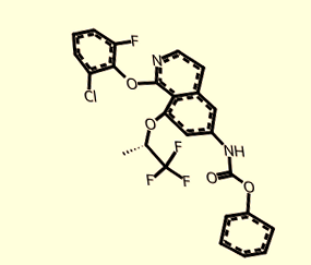 C[C@H](Oc1cc(NC(=O)Oc2ccccc2)cc2ccnc(Oc3c(F)cccc3Cl)c12)C(F)(F)F